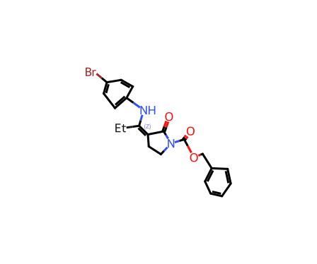 CC/C(Nc1ccc(Br)cc1)=C1\CCN(C(=O)OCc2ccccc2)C1=O